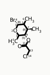 CC1O[C@H](Br)C(C)[C@@H](C)[C@@H]1OC(=O)CCl